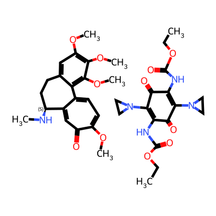 CCOC(=O)NC1=C(N2CC2)C(=O)C(NC(=O)OCC)=C(N2CC2)C1=O.CN[C@H]1CCc2cc(OC)c(OC)c(OC)c2-c2ccc(OC)c(=O)cc21